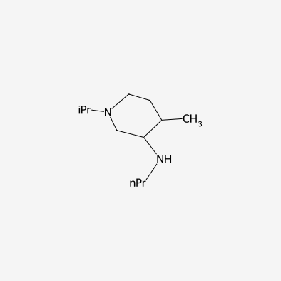 CCCNC1CN(C(C)C)CCC1C